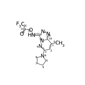 Cc1cc(N2CCCC2)nn2c(NOC(=O)C(F)(F)F)nnc12